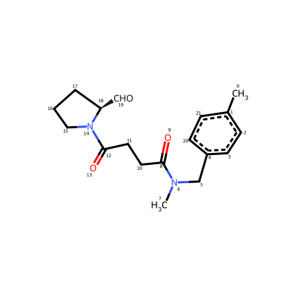 Cc1ccc(CN(C)C(=O)CCC(=O)N2CCC[C@H]2C=O)cc1